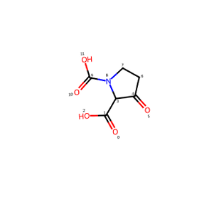 O=C(O)C1C(=O)CCN1C(=O)O